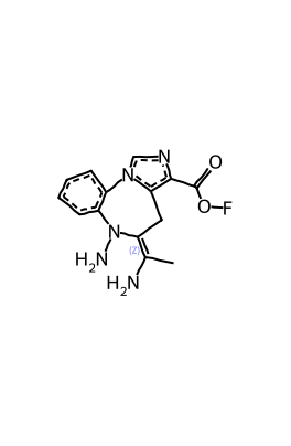 C/C(N)=C1\Cc2c(C(=O)OF)ncn2-c2ccccc2N1N